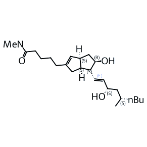 CCCC[C@H](C)C[C@H](O)/C=C/[C@@H]1[C@H]2CC(CCCCC(=O)NC)=C[C@H]2C[C@H]1O